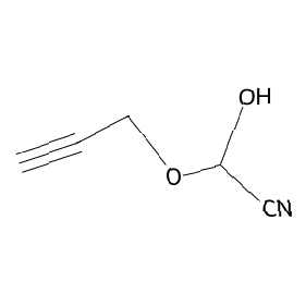 C#CCOC(O)C#N